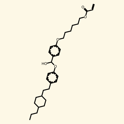 C=CC(=O)OCCCCCCOc1ccc(C(O)Oc2ccc(CCC3CCC(CCC)CC3)cc2)cc1